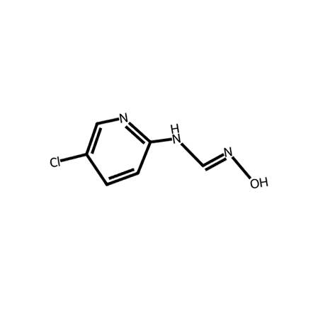 ON=CNc1ccc(Cl)cn1